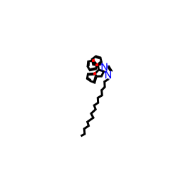 CCCCCCCCCCCCCCCCN1C=CN(Cc2ccccc2)C1(Cc1ccccc1)C(CC)c1ccccc1